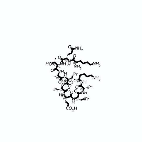 CC(C)C[C@H](NC(=O)[C@H](C)NC(=O)[C@@H](NC(=O)[C@H](CCC(N)=O)NC(=O)[C@@H](N)CCCCN)[C@@H](C)O)C(=O)N[C@H](C(=O)N[C@@H](CCC(=O)O)C(=O)N[C@@H](CC(C)C)C(=O)N[C@H](C(=O)N[C@@H](CCCCN)C(=O)O)C(C)C)C(C)C